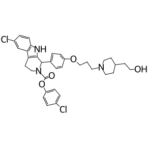 O=C(Oc1ccc(Cl)cc1)N1CCc2c([nH]c3ccc(Cl)cc23)C1c1ccc(OCCCN2CCC(CCO)CC2)cc1